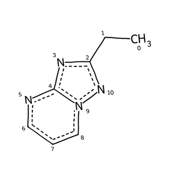 CCc1nc2ncccn2n1